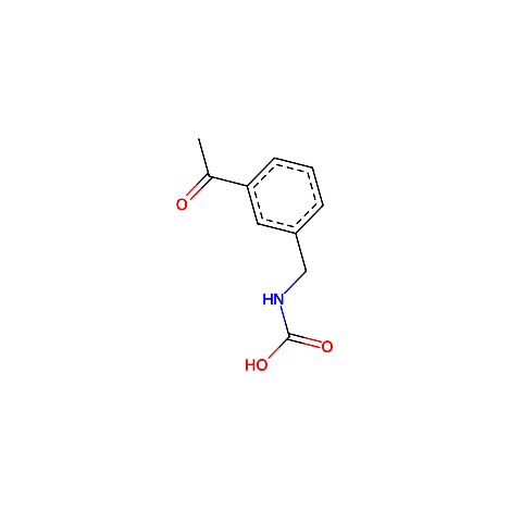 CC(=O)c1cccc(CNC(=O)O)c1